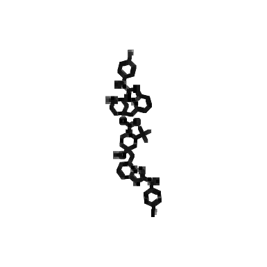 CC(C)(C)C1CC(O)(Cc2cccc3nc(Nc4ccc(F)cc4)nn23)CCN1C(=O)OC1(Cc2cccc3nc(Nc4ccc(F)cc4)nn23)CCNCC1